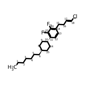 CCCCCCC[C@H]1CC[C@H](c2ccc(CC/C=C/Cl)c(F)c2F)CC1